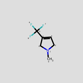 CN1C[C]=C(C(F)(F)F)C1